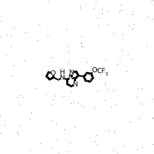 FC(F)(F)Oc1cccc(-c2cnn3c(NCc4ccco4)ccnc23)c1